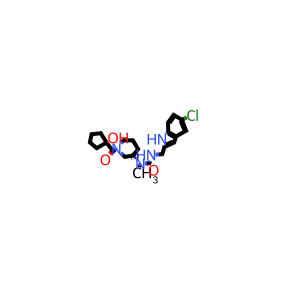 CN(C(=O)NCc1cc2cc(Cl)ccc2[nH]1)[C@@H]1CCCN(C(=O)C2(O)CCCC2)C1